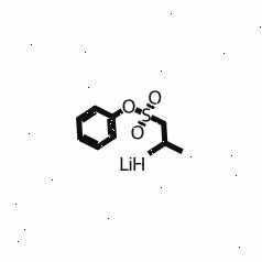 CC(C)CS(=O)(=O)Oc1ccccc1.[LiH]